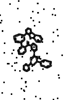 C1=CC2Sc3c(-c4cccc(-c5ccccc5Nc5cccc(C6=NC(c7ccccc7)CC(c7ccccc7)N6)c5)c4)cccc3C2C=C1